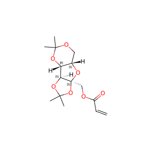 C=CC(=O)OC[C@@]12O[C@H]3COC(C)(C)O[C@H]3[C@@H]1OC(C)(C)O2